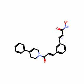 O=C(/C=C/c1cccc(/C=C/C(=O)N2CC=C(c3ccccc3)CC2)c1)NO